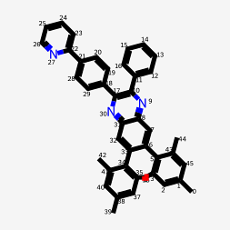 Cc1cc(C)c(-c2cc3nc(-c4ccccc4)c(-c4ccc(-c5ccccn5)cc4)nc3cc2-c2c(C)cc(C)cc2C)c(C)c1